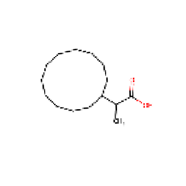 CC(C(=O)O)C1CCCCCCCCCCC1